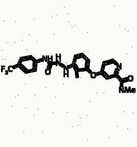 CNC(=O)c1cc(Oc2cccc(NNC(=O)Nc3ccc(C(F)(F)F)cc3)c2C)ccn1